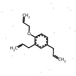 C=CCOc1ccc(CC=C)cc1CC=C